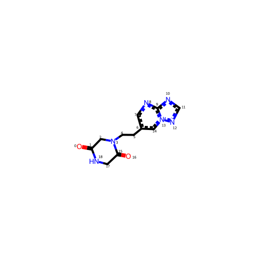 O=C1CN(CCc2cnc3ncnn3c2)C(=O)CN1